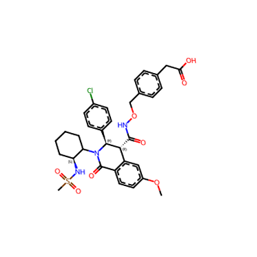 COc1ccc2c(c1)[C@@H](C(=O)NOCc1ccc(CC(=O)O)cc1)[C@H](c1ccc(Cl)cc1)N(C1CCCC[C@@H]1NS(C)(=O)=O)C2=O